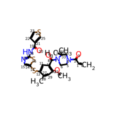 C=CC(=O)N1CCN(C(=O)c2cc(Sc3cnc(NC(=O)c4ccsc4)s3)c(C)cc2OC)C(C)(C)C1